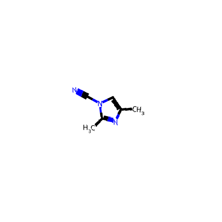 Cc1cn(C#N)c(C)n1